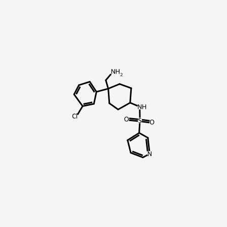 NCC1(c2cccc(Cl)c2)CCC(NS(=O)(=O)c2cccnc2)CC1